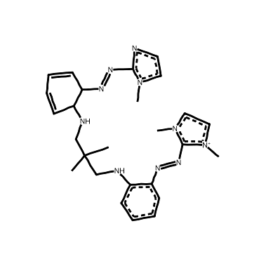 Cn1ccnc1/N=N/C1C=CC=CC1NCC(C)(C)CNc1ccccc1/N=N/c1n(C)cc[n+]1C